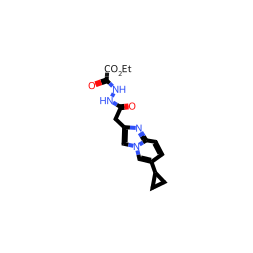 CCOC(=O)C(=O)NNC(=O)Cc1cn2cc(C3CC3)ccc2n1